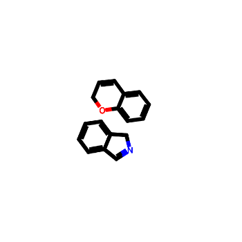 C1=Cc2ccccc2OC1.C1=NCc2ccccc21